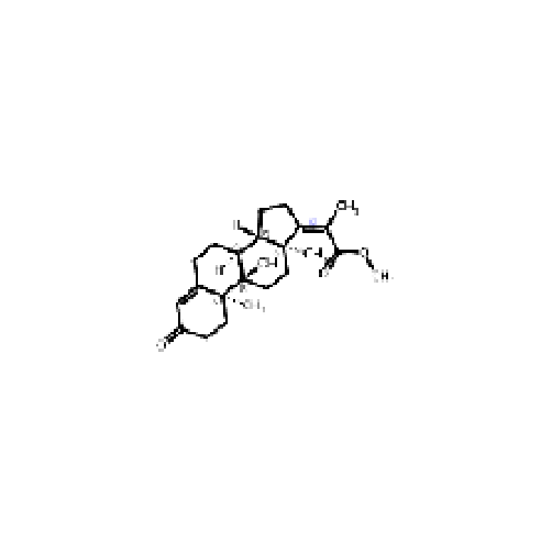 COC(=O)/C(C)=C1/CC[C@H]2[C@@H]3CCC4=CC(=O)CC[C@]4(C)[C@@]3(O)CC[C@]12C